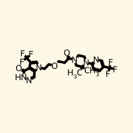 CC1(C)CN(C(=O)CCOCCn2cc(C(F)(F)F)c3c(=O)[nH]ncc32)CCN1c1ccc(C(F)(F)F)cn1